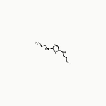 C=CCNc1nnc(NCC=C)s1